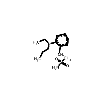 CCCN(CC)c1ccccc1C.CS(N)(=O)=O